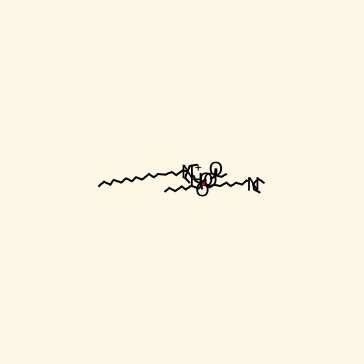 CCC(=O)O.CCCCCCCCCCCCCCCCN(CC)CC.CCCCCCCCCCCCCCCC[N+](CC)(CC)CCC(=O)[O-]